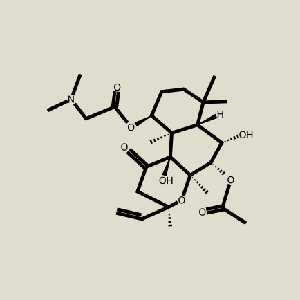 C=C[C@@]1(C)CC(=O)[C@]2(O)[C@@]3(C)[C@@H](OC(=O)CN(C)C)CCC(C)(C)[C@@H]3[C@H](O)[C@H](OC(C)=O)[C@@]2(C)O1